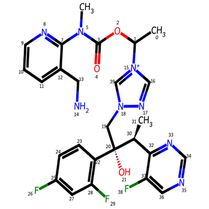 CC(OC(=O)N(C)c1ncccc1CN)[n+]1cnn(C[C@](O)(c2ccc(F)cc2F)[C@@H](C)c2ncncc2F)c1